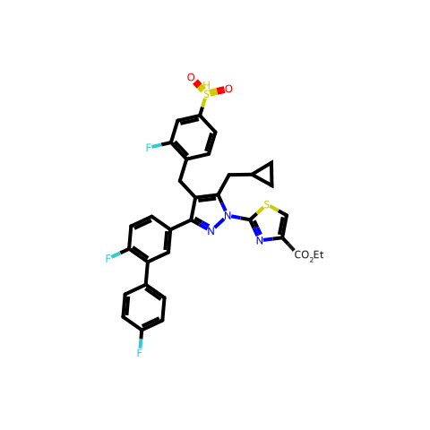 CCOC(=O)c1csc(-n2nc(-c3ccc(F)c(-c4ccc(F)cc4)c3)c(Cc3ccc([SH](=O)=O)cc3F)c2CC2CC2)n1